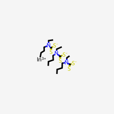 CCCCN(CC)C(=S)[S-].CCCCN(CC)C(=S)[S-].CCCCN(CC)C(=S)[S-].[In+3]